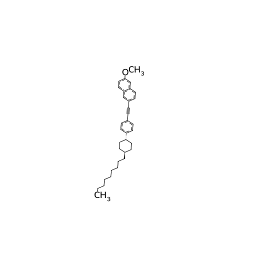 CCCCCCCCC[C@H]1CC[C@H](c2ccc(C#Cc3ccc4cc(OC)ccc4c3)cc2)CC1